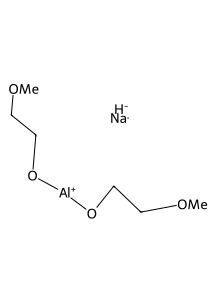 COCC[O][Al+][O]CCOC.[H-].[Na]